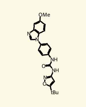 COc1ccc2c(c1)ncn2-c1ccc(NC(=O)Nc2cc(C(C)(C)C)on2)cc1